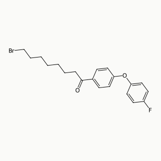 O=C(CCCCCCCBr)c1ccc(Oc2ccc(F)cc2)cc1